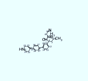 CC(C)CC(C(=O)NCC#N)c1cccc(-c2ccc(C3=CCNCC3)cc2)c1